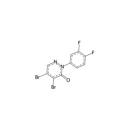 O=c1c(Br)c(Br)cnn1-c1ccc(F)c(F)c1